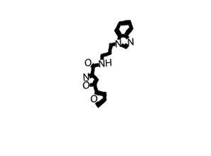 O=C(NCCCn1cnc2ccccc21)c1cc(-c2ccco2)on1